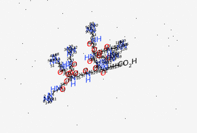 CN(C)C(=NCCCNC(=O)CCOCC(COCCC(=O)NCCCN=C(N(C)C)N(C)C)(COCCC(=O)NCCCN=C(N(C)C)N(C)C)NC(=O)CCCC(=O)NCCCC[C@H](NC(=O)CCCC(=O)NC(COCCC(=O)NCCCN=C(N(C)C)N(C)C)(COCCC(=O)NCCCN=C(N(C)C)N(C)C)COCCC(=O)NCCCN=C(N(C)C)N(C)C)C(=O)NCCCCCC(=O)O)N(C)C